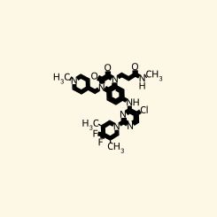 CNC(=O)CCn1c(=O)c(=O)n(CC2CCN(C)CC2)c2ccc(Nc3nc(N4C[C@@H](C)C(F)(F)[C@@H](C)C4)ncc3Cl)cc21